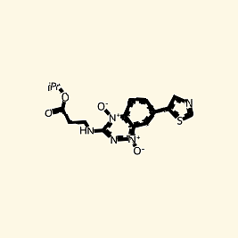 CC(C)OC(=O)CCNc1n[n+]([O-])c2cc(-c3cncs3)ccc2[n+]1[O-]